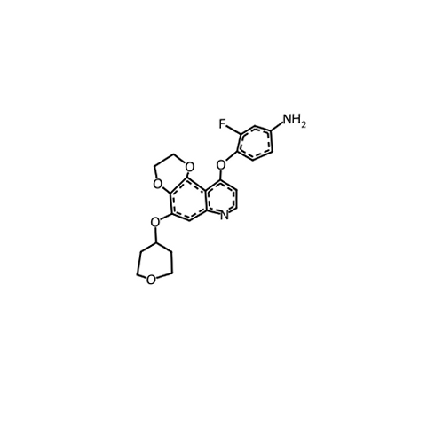 Nc1ccc(Oc2ccnc3cc(OC4CCOCC4)c4c(c23)OCCO4)c(F)c1